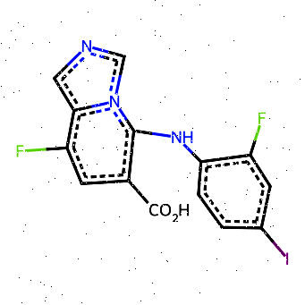 O=C(O)c1cc(F)c2cncn2c1Nc1ccc(I)cc1F